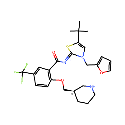 CC(C)(C)c1cn(Cc2ccco2)/c(=N/C(=O)c2cc(C(F)(F)F)ccc2OC[C@@H]2CCCNC2)s1